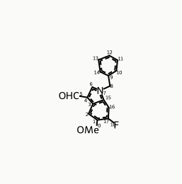 COc1cc2c(C=O)cn(Cc3ccccc3)c2cc1F